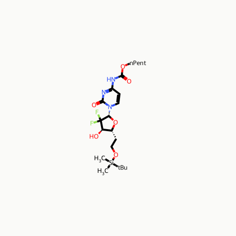 CCCCCOC(=O)Nc1ccn([C@@H]2O[C@H](CCO[Si](C)(C)C(C)(C)C)[C@@H](O)C2(F)F)c(=O)n1